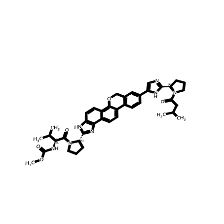 COC(=O)N[C@H](C(=O)N1CCC[C@H]1c1nc2c(ccc3c4c(ccc32)-c2ccc(-c3cnc([C@H]5CCCN5C(=O)[CH]C(C)C)[nH]3)cc2CO4)[nH]1)C(C)C